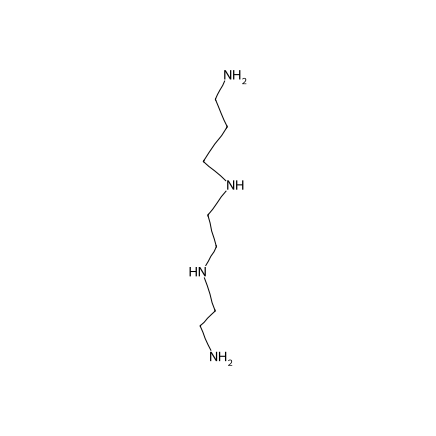 NCCCNCCNCCN